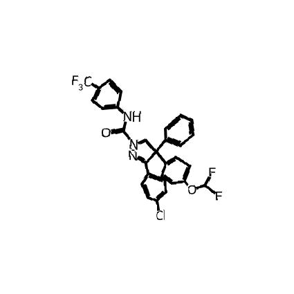 O=C(Nc1ccc(C(F)(F)F)cc1)N1CC(c2ccccc2)(c2ccc(OC(F)F)cc2)C(c2ccc(Cl)cc2)=N1